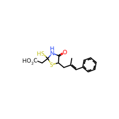 C/C(=C\c1ccccc1)CC1SC(S)(CC(=O)O)NC1=O